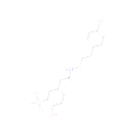 CS(=O)(=O)c1cc(CC(=O)NSCCc2ccc(C(F)(F)F)cc2)ccc1O